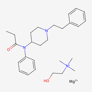 CCC(=O)N(c1ccccc1)C1CCN(CCc2ccccc2)CC1.C[N+](C)(C)CCO.[Mg+2]